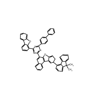 CC1(C)c2ccccc2-c2c(C3C=c4c(oc5c(-c6nc(-c7ccc(-c8ccccc8)cc7)nc(-c7cccc8c7oc7ccccc78)n6)cc6ccccc6c45)=CC3)cccc21